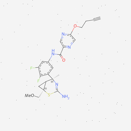 C#CCCOc1cnc(C(=O)Nc2cc(F)c(F)c([C@@]3(C)N=C(N)S[C@@]4(COC)CC43)c2)cn1